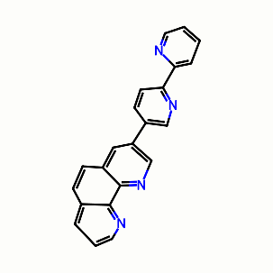 c1ccc(-c2ccc(-c3cnc4c(ccc5cccnc54)c3)cn2)nc1